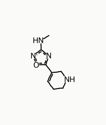 CNc1noc(C2=CCCNC2)n1